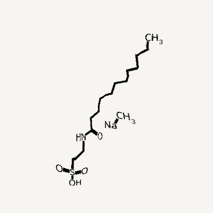 CCCCCCCCCCCC(=O)NCCS(=O)(=O)O.[CH3][Na]